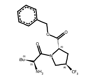 CC[C@H](C)[C@H](N)C(=O)N1C[C@H](C(F)(F)F)C[C@H]1C(=O)OCc1ccccc1